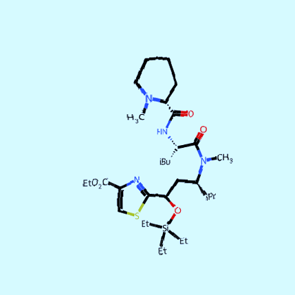 CCOC(=O)c1csc(C(C[C@H](C(C)C)N(C)C(=O)[C@@H](NC(=O)[C@H]2CCCCN2C)[C@@H](C)CC)O[Si](CC)(CC)CC)n1